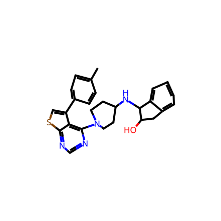 Cc1ccc(-c2csc3ncnc(N4CCC(NC5c6ccccc6CC5O)CC4)c23)cc1